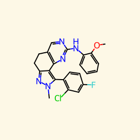 COc1ccccc1Nc1ncc2c(n1)-c1c(nn(C)c1-c1ccc(F)cc1Cl)CC2